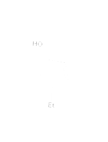 CC[C@H]1C=CC(O)C1